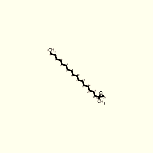 CCCCCCCCCCCCCCCCCCC1(C)CO1